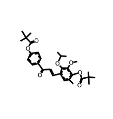 COc1c(OC(=O)C(C)(C)C)c(C)cc(C=CC(=O)c2ccc(OC(=O)C(C)(C)C)cc2)c1OC(C)C